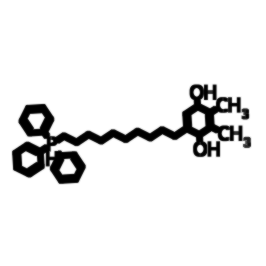 CC1=C(C)C(O)C(CCCCCCCCCC[PH](c2ccccc2)(c2ccccc2)c2ccccc2)=CC1O